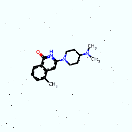 Cc1cccc2c(=O)[nH]c(N3CCC(N(C)C)CC3)cc12